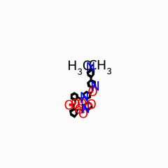 CN(C)c1ccc(-c2ccc(OC3CCN(C(=O)c4ccccc4OC(=O)c4ccccc4OC(=O)N4CCOCC4)CC3)nc2)cc1